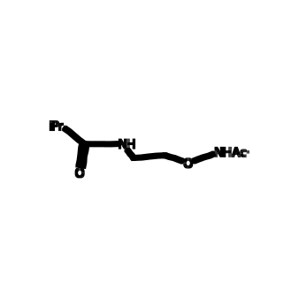 CC(=O)[N]OCCNC(=O)C(C)C